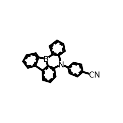 N#Cc1ccc(N2c3ccccc3B3c4ccccc4-c4cccc2c43)cc1